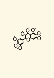 COc1cc(-c2oc3cc4c(c(OC)c3c(=O)c2OC)OCO4)cc2c1OCO2